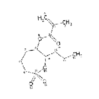 C=C(C)C(=O)OC1CCCS(=O)(=O)OC1CCC